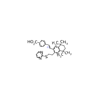 CC1(C)CCC(C)(C)c2cc(CCSc3ncccn3)c(/C=C/c3ccc(C(=O)O)cc3)cc21